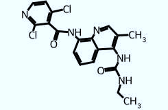 CCNC(=O)Nc1c(C)cnc2c(NC(=O)c3c(Cl)ccnc3Cl)cccc12